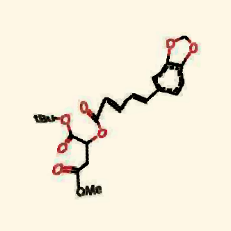 COC(=O)CC(OC(=O)C=CC=Cc1ccc2c(c1)OCO2)C(=O)OC(C)(C)C